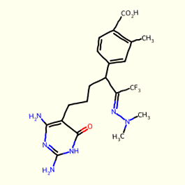 Cc1cc(C(CCCc2c(N)nc(N)[nH]c2=O)/C(=N/N(C)C)C(F)(F)F)ccc1C(=O)O